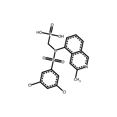 Cc1cc2c(N(CP(=O)(O)O)S(=O)(=O)c3cc(Cl)cc(Cl)c3)cccc2cn1